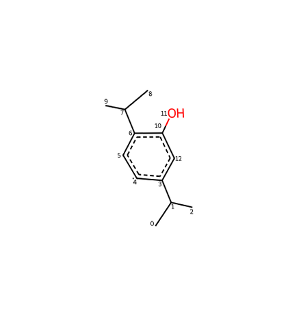 CC(C)c1[c]cc(C(C)C)c(O)c1